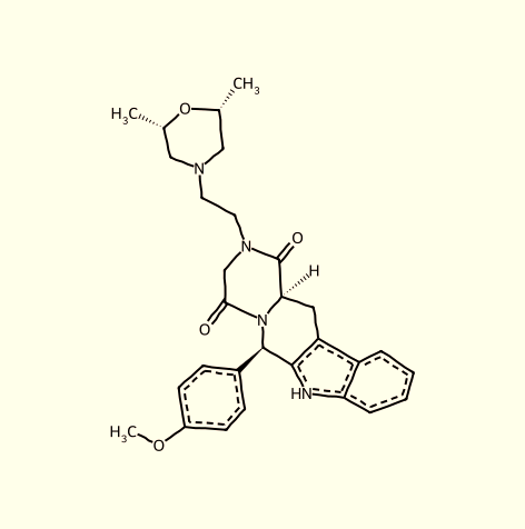 COc1ccc([C@@H]2c3[nH]c4ccccc4c3C[C@@H]3C(=O)N(CCN4C[C@@H](C)O[C@@H](C)C4)CC(=O)N23)cc1